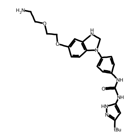 CC(C)(C)c1cc(NC(=O)Nc2ccc(N3CNc4cc(OCCOCCN)ccc43)cc2)[nH]n1